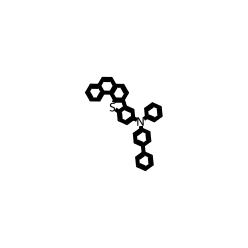 c1ccc(-c2ccc(N(c3ccccc3)c3ccc4sc5c(ccc6ccc7ccccc7c65)c4c3)cc2)cc1